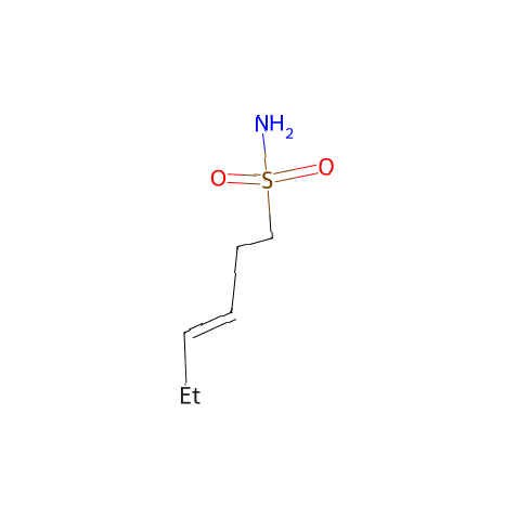 CCC=CCCS(N)(=O)=O